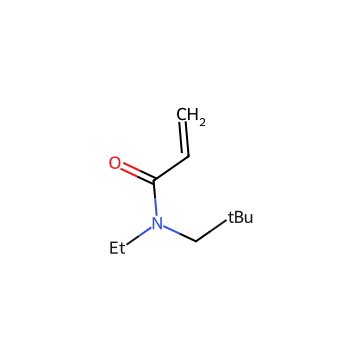 C=CC(=O)N(CC)CC(C)(C)C